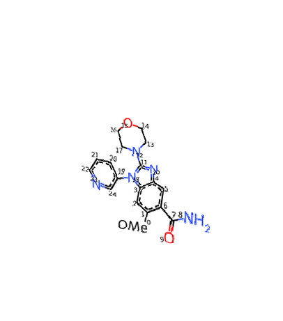 COc1cc2c(cc1C(N)=O)nc(N1CCOCC1)n2-c1cccnc1